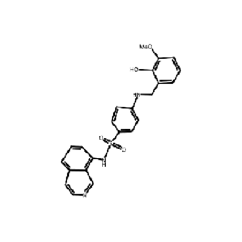 COc1cccc(CNc2ccc(S(=O)(=O)Nc3cccc4ccncc34)cc2)c1O